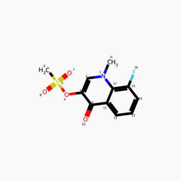 Cn1cc(OS(C)(=O)=O)c(=O)c2cccc(F)c21